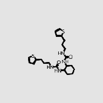 O=C(NCCCc1cccs1)NC1CCCCC1NC(=O)NCCCc1cccs1